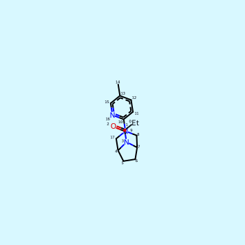 CCC(=O)N1C2CCC1CN(c1ccc(C)cn1)C2